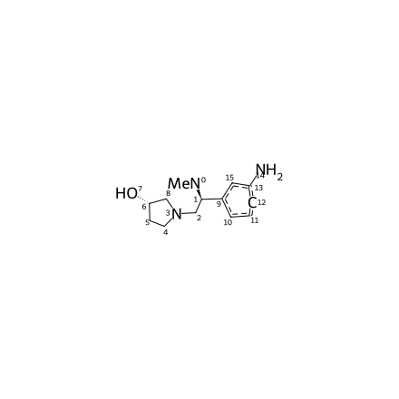 CN[C@H](CN1CC[C@H](O)C1)c1cccc(N)c1